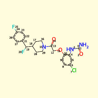 NC(=O)Nc1cc(Cl)ccc1OCC(=O)N1CCC(C(F)c2ccc(F)cc2)CC1